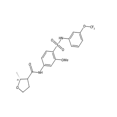 COc1cc(NC(=O)C2CCO[C@@H]2C)ccc1S(=O)(=O)Nc1cccc(OC(F)(F)F)c1